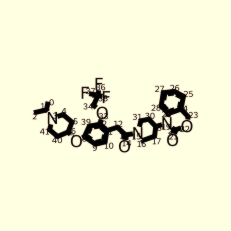 CC(C)N1CCC(Oc2ccc(CC(=O)N3CCC(N4C(=O)OCc5ccccc54)CC3)c(OCC(F)(F)F)c2)CC1